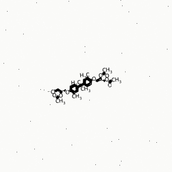 CC(=O)OC[C@H](COc1ccc(C(C)(C)c2ccc(OC[C@@H](CCl)OC(C)=O)c(C)c2)cc1C)OC(C)=O